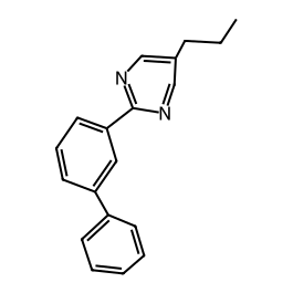 CCCc1cnc(-c2cccc(-c3ccccc3)c2)nc1